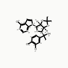 CC1(C)O[C@@H]2[C@H](O1)[C@@H](C(C)(O)c1ccc(Cl)c(Cl)c1)O[C@H]2n1ccc2c(Cl)ncnc21